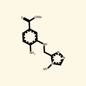 CCCn1cnnc1CNc1cc(C(=O)OC)ccc1N